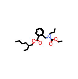 CCCCC(CC)COC(=O)c1ccccc1CN(CCC)C(=O)OCC